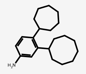 Nc1ccc(C2CCCCCC2)c(C2CCCCCCC2)c1